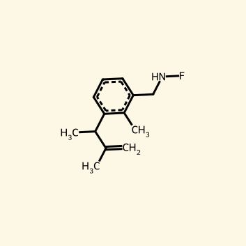 C=C(C)C(C)c1cccc(CNF)c1C